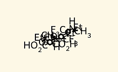 CCC(C)(CC)Nc1ccc(-c2ccc(NC(=O)c3cc(C(=O)C(C)(CC)CC)c(C(=O)O)cc3C(=O)O)cc2C(F)(F)F)c(C(F)(F)F)c1